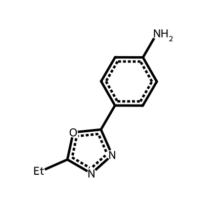 CCc1nnc(-c2ccc(N)cc2)o1